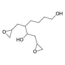 OCCCCC(CC1CO1)C(O)CC1CO1